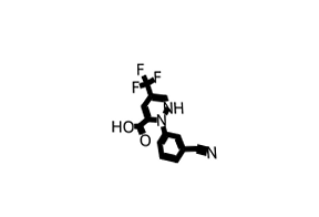 N#Cc1cccc(N2NC=C(C(F)(F)F)C=C2C(=O)O)c1